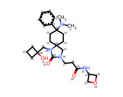 CN(C)C1(c2ccccc2)CCC2(CC1)CN(CCC(=O)NC1COC1)C(=O)N2CC1(O)CCC1